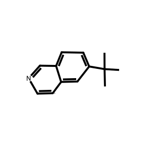 CC(C)(C)c1ccc2cnc[c]c2c1